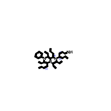 C=C/C=C\C1=C(C=C)N(c2ccccc2)C(C=C)=C2B1C(C=C)=C(C=C)N(C(/C=C\C=N)=C/C=C)/C2=C/C=C